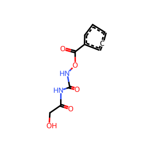 O=C(CO)NC(=O)NOC(=O)c1ccccc1